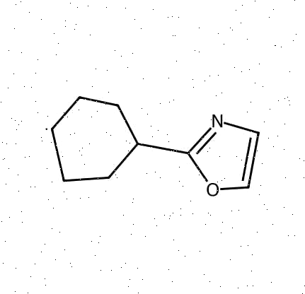 [CH]1CCC(c2ncco2)CC1